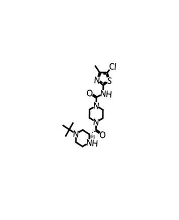 Cc1nc(NC(=O)N2CCN(C(=O)[C@H]3CN(C(C)(C)C)CCN3)CC2)sc1Cl